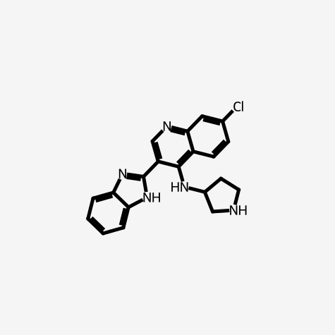 Clc1ccc2c(NC3CCNC3)c(-c3nc4ccccc4[nH]3)cnc2c1